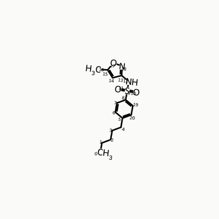 CCCCCc1ccc(S(=O)(=O)Nc2cc(C)on2)cc1